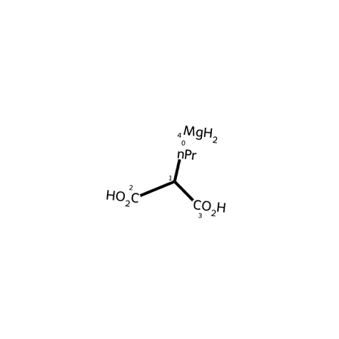 CCCC(C(=O)O)C(=O)O.[MgH2]